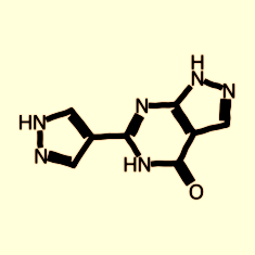 O=c1[nH]c(-c2cn[nH]c2)nc2[nH]ncc12